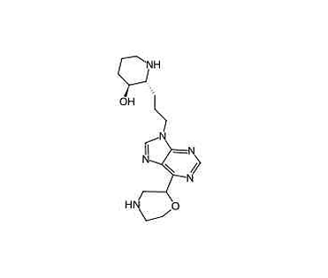 O[C@H]1CCCN[C@@H]1CCCn1cnc2c(C3CNCCO3)ncnc21